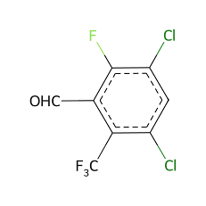 O=Cc1c(F)c(Cl)cc(Cl)c1C(F)(F)F